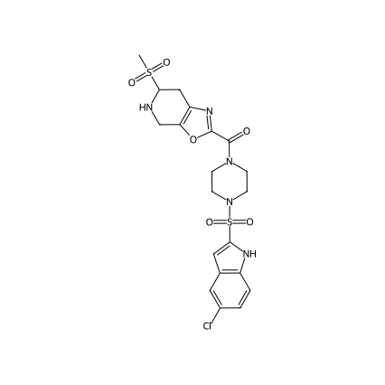 CS(=O)(=O)C1Cc2nc(C(=O)N3CCN(S(=O)(=O)c4cc5cc(Cl)ccc5[nH]4)CC3)oc2CN1